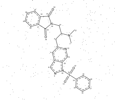 CN(C)C(Cc1cc2cnn(S(=O)(=O)c3ccccc3)c2cn1)CN1C(=O)c2ccccc2C1=O